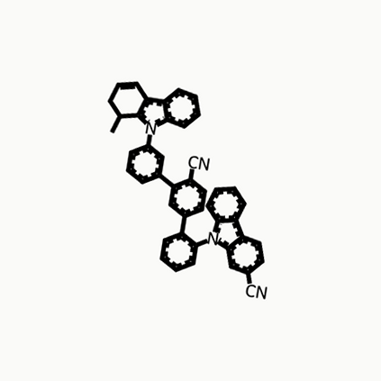 CC1CC=Cc2c1n(-c1cccc(-c3cc(-c4ccccc4-n4c5ccccc5c5ccc(C#N)cc54)ccc3C#N)c1)c1ccccc21